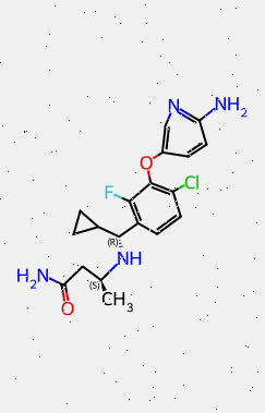 C[C@@H](CC(N)=O)N[C@@H](c1ccc(Cl)c(Oc2ccc(N)nc2)c1F)C1CC1